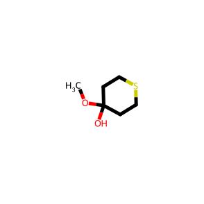 COC1(O)CCSCC1